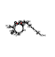 CCCCCCCCCCCCCC(=O)NCCOCCOCCNC(=O)COCC(=O)N[C@@H](CO)C(=O)N[C@@H](CCCC)C(=O)NC1C(=O)CCCNCCCC[C@@H](C(N)=O)NC(=O)[C@H](Cc2c[nH]c3ccccc23)NC(=O)[C@H](CCCNC(=N)N)NC(=O)[C@@H](Cc2ccccc2)NC(=O)[C@@H]2C[C@@H](O)CN2C1=O